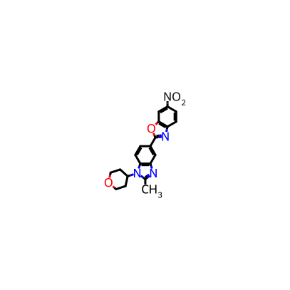 Cc1nc2cc(-c3nc4ccc([N+](=O)[O-])cc4o3)ccc2n1C1CCOCC1